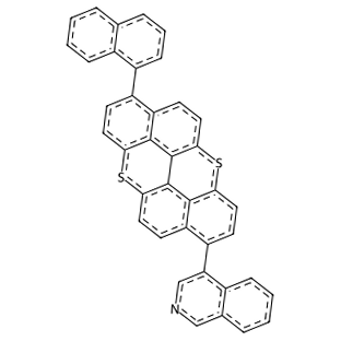 c1ccc2c(-c3ccc4sc5ccc6c(-c7cncc8ccccc78)ccc7sc8ccc3c4c8-c5c76)cccc2c1